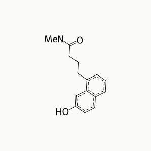 CNC(=O)CCCc1cccc2ccc(O)cc12